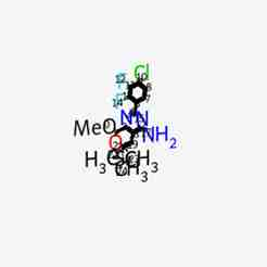 COC(=O)c1nc(-c2ccc(Cl)c(F)c2F)nc(N)c1C=C[Si](C)(C)C